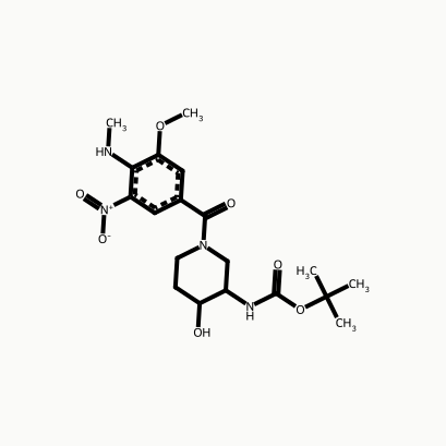 CNc1c(OC)cc(C(=O)N2CCC(O)C(NC(=O)OC(C)(C)C)C2)cc1[N+](=O)[O-]